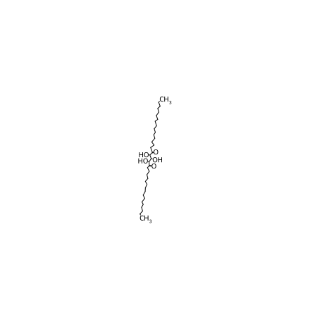 CCCCCCCCCCCCCCCCC(=O)C(O)C(O)C(O)C(=O)CCCCCCCCCCCCCCCC